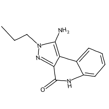 CCCn1nc2c(=O)[nH]c3ccccc3c2c1N